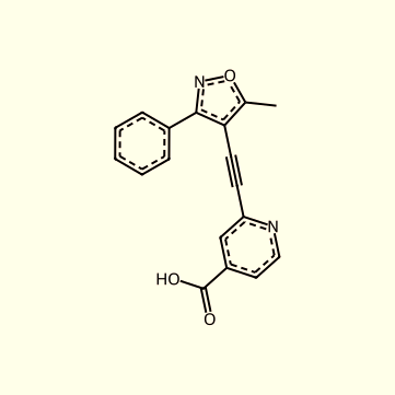 Cc1onc(-c2ccccc2)c1C#Cc1cc(C(=O)O)ccn1